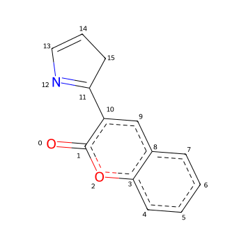 O=c1oc2ccccc2cc1C1=NC=CC1